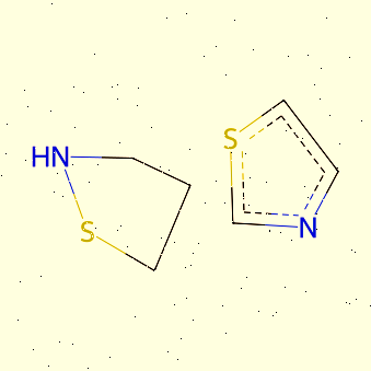 C1CNSC1.c1cscn1